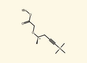 C[C@H](CC#C[Si](C)(C)C)OCC(=O)OC(C)(C)C